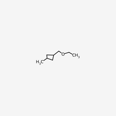 CCOCC1CC(C)C1